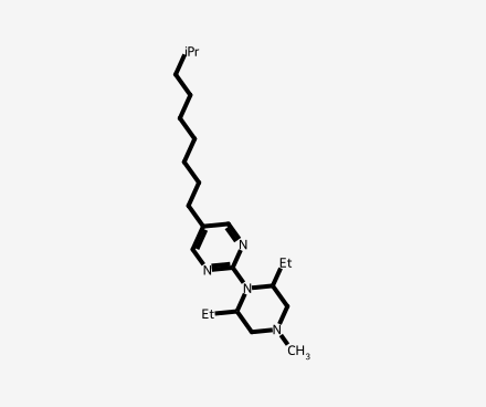 CCC1CN(C)CC(CC)N1c1ncc(CCCCCCCC(C)C)cn1